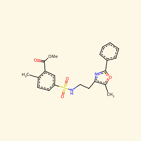 COC(=O)c1cc(S(=O)(=O)NCCc2nc(-c3ccccc3)oc2C)ccc1C